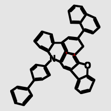 C1=C(c2ccccc2N(c2ccc(-c3ccccc3)cc2)c2ccc3oc4ccccc4c3c2)C=C(c2cccc3ccccc23)CC1